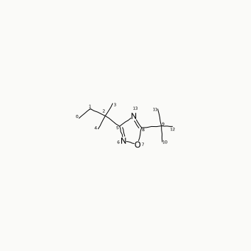 CCC(C)(C)c1noc(C(C)(C)C)n1